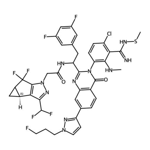 CNc1c(-n2c(C(Cc3cc(F)cc(F)c3)NC(=O)Cn3nc(C(F)F)c4c3C(F)(F)C3C[C@H]43)nc3cc(-c4ccn(CCCF)n4)ccc3c2=O)ccc(Cl)c1C(=N)NSC